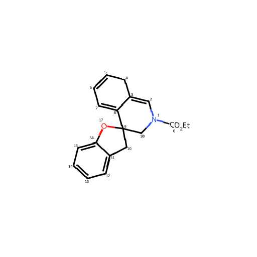 CCOC(=O)N1C=C2CC=CC=C2C2(Cc3ccccc3O2)C1